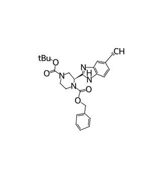 C#Cc1ccc2[nH]c([C@@H]3CN(C(=O)OC(C)(C)C)CCN3C(=O)OCc3ccccc3)nc2c1